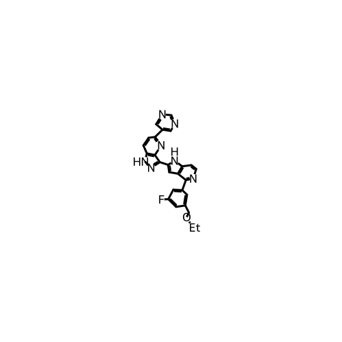 CCOCc1cc(F)cc(-c2nccc3[nH]c(-c4n[nH]c5ccc(-c6cncnc6)nc45)cc23)c1